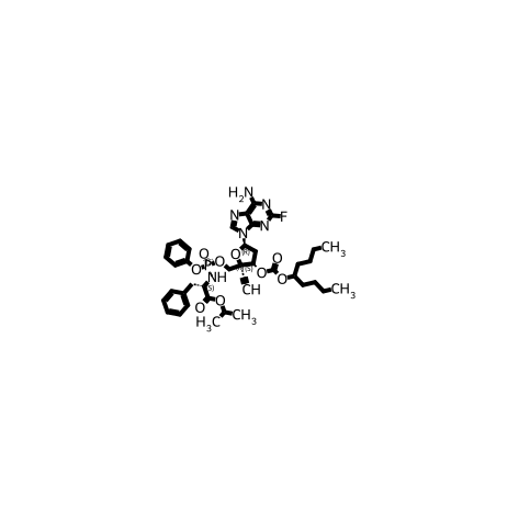 C#C[C@]1(CO[P@@](=O)(N[C@@H](Cc2ccccc2)C(=O)OC(C)C)Oc2ccccc2)O[C@@H](n2cnc3c(N)nc(F)nc32)C[C@@H]1OC(=O)OC(CCCC)CCCC